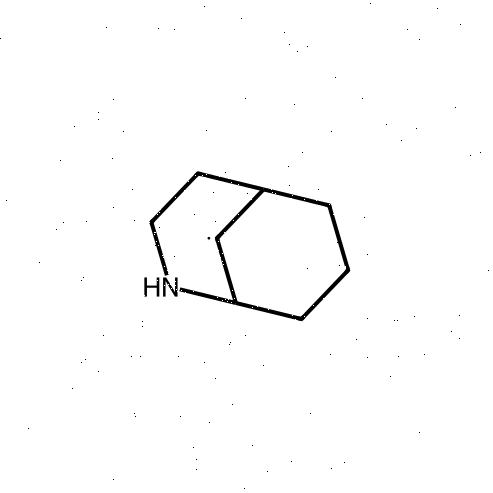 [CH]1C2CCCC1NCC2